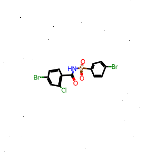 O=C(NS(=O)(=O)c1ccc(Br)cc1)c1ccc(Br)cc1Cl